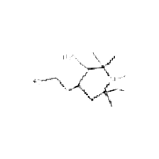 CN1C(C)(C)CC(CCC#N)C(N)C1(C)C